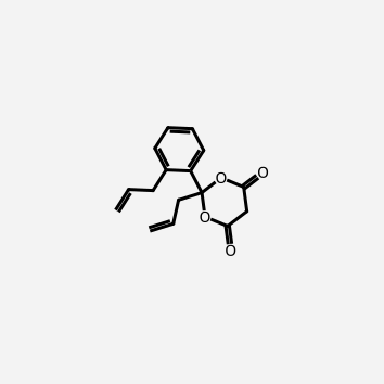 C=CCc1ccccc1C1(CC=C)OC(=O)CC(=O)O1